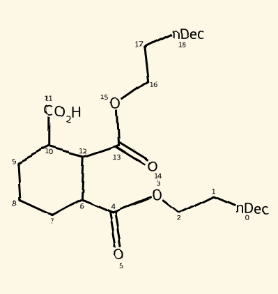 CCCCCCCCCCCCOC(=O)C1CCCC(C(=O)O)C1C(=O)OCCCCCCCCCCCC